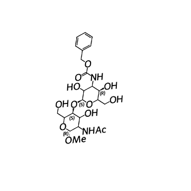 CO[C@@H]1OC(CO)[C@@H](O[C@@H]2OC(CO)[C@H](O)C(NC(=O)OCc3ccccc3)C2O)C(O)C1NC(C)=O